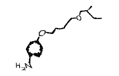 CC[C@H](C)COCCCCOc1ccc(N)cc1